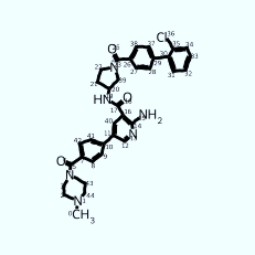 CN1CCN(C(=O)c2ccc(-c3cnc(N)c(C(=O)NC4CCN(C(=O)c5ccc(-c6ccccc6Cl)cc5)C4)c3)cc2)CC1